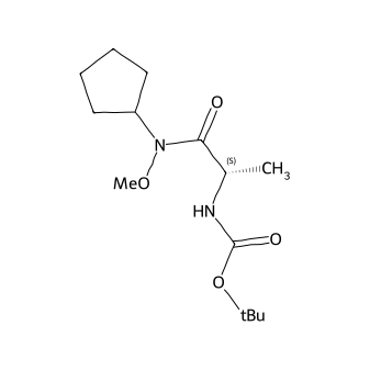 CON(C(=O)[C@H](C)NC(=O)OC(C)(C)C)C1CCCC1